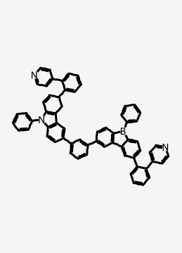 C1=CC(c2ccccc2-c2ccncc2)Cc2c1n(-c1ccccc1)c1ccc(-c3cccc(-c4ccc5c(c4)-c4cc(-c6ccccc6-c6ccncc6)ccc4B5c4ccccc4)c3)cc21